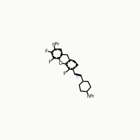 CCCc1cc2c(c(F)c1F)Oc1c(ccc(/C=C/C3CCC(CCC)CC3)c1F)C2